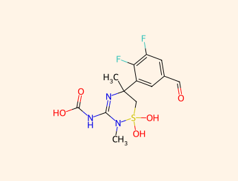 CN1C(NC(=O)O)=NC(C)(c2cc(C=O)cc(F)c2F)CS1(O)O